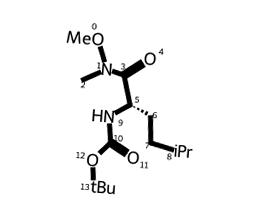 CON(C)C(=O)[C@H](CCC(C)C)NC(=O)OC(C)(C)C